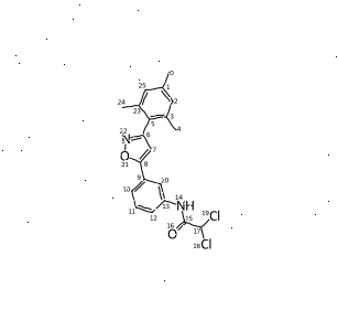 Cc1cc(C)c(-c2cc(-c3cccc(NC(=O)C(Cl)Cl)c3)on2)c(C)c1